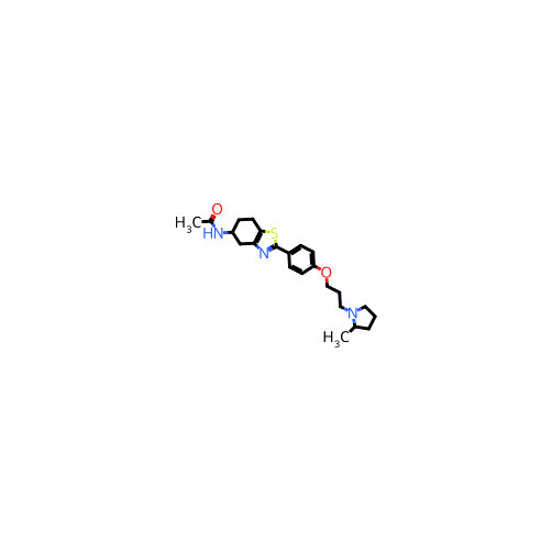 CC(=O)NC1CCc2sc(-c3ccc(OCCCN4CCCC4C)cc3)nc2C1